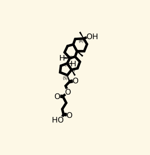 C[C@@]1(O)CC[C@@]2(C)C(CC[C@@H]3C2CC[C@]2(C)[C@@H](C(=O)COC(=O)CCC(=O)O)CC[C@@H]32)C1